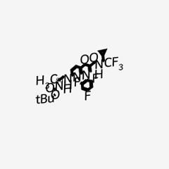 C[C@H](CNc1ccc2c(=O)c(C(=O)NC(C3CC3)C(F)(F)F)cn(-c3c(F)cc(F)cc3F)c2n1)NC(=O)OC(C)(C)C